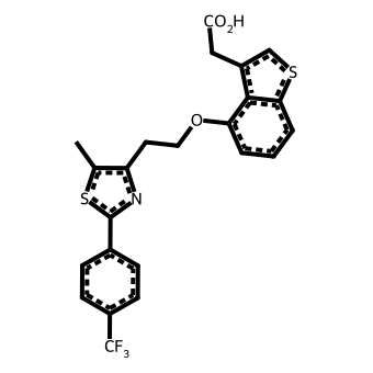 Cc1sc(-c2ccc(C(F)(F)F)cc2)nc1CCOc1cccc2scc(CC(=O)O)c12